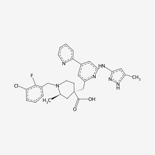 Cc1cc(Nc2cc(-c3ccccn3)cc(C[C@@]3(C(=O)O)CCN(Cc4cccc(Cl)c4F)[C@H](C)C3)n2)n[nH]1